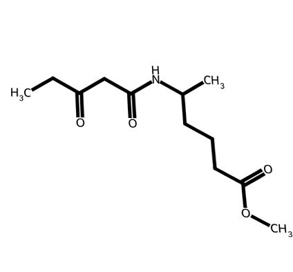 CCC(=O)CC(=O)NC(C)CCCC(=O)OC